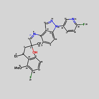 CCC(CC(O)(/C=N\c1cccc2c1cnn2-c1ccc(F)nc1)C(F)(F)F)c1cccc(F)c1OC